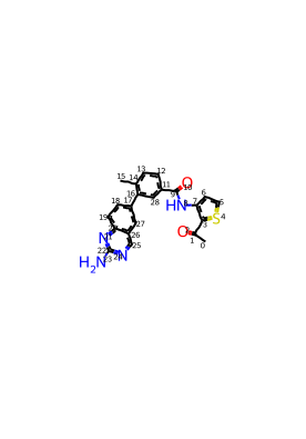 CC(=O)c1sccc1NC(=O)c1ccc(C)c(-c2ccc3nc(N)ncc3c2)c1